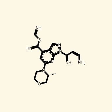 C[C@@H]1COCCN1c1cc(C(=N)SC=N)c2cnn(C(=N)/C=C\N)c2n1